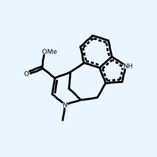 COC(=O)C1=CN(C)C2Cc3c[nH]c4cccc(c34)C1C2